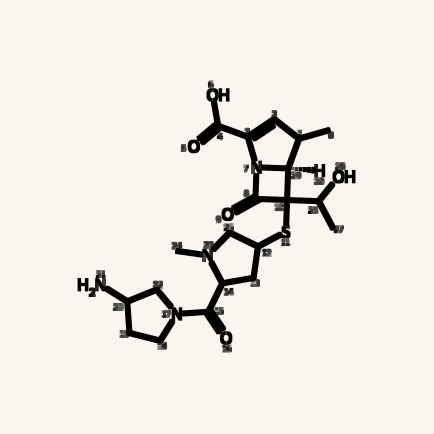 CC1C=C(C(=O)O)N2C(=O)C(SC3CC(C(=O)N4CCC(N)C4)N(C)C3)(C(C)O)[C@H]12